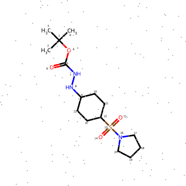 CC(C)(C)OC(=O)NNC1CCC(S(=O)(=O)N2CCCC2)CC1